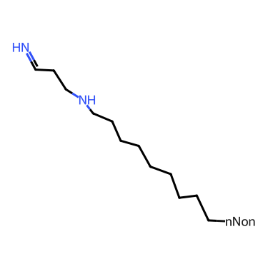 CCCCCCCCCCCCCCCCCCNCCC=N